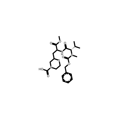 COC(=O)C(CC1CN(C(=O)O)CCS1)NC(=O)[C@H](C(C)C)N(C)C(=O)OCc1ccccc1